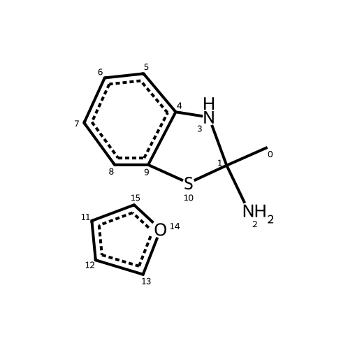 CC1(N)Nc2ccccc2S1.c1ccoc1